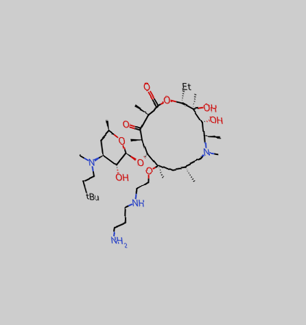 CC[C@H]1OC(=O)[C@H](C)C(=O)[C@H](C)[C@@H](O[C@@H]2O[C@H](C)C[C@H](N(C)CCC(C)(C)C)[C@H]2O)[C@](C)(OCCNCCCN)C[C@@H](C)CN(C)[C@H](C)[C@@H](O)[C@]1(C)O